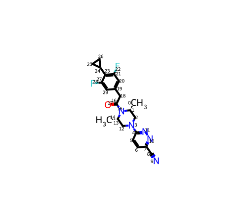 C[C@@H]1CN(c2ccc(C#N)nn2)C[C@H](C)N1C(=O)Cc1cc(F)c(C2CC2)c(F)c1